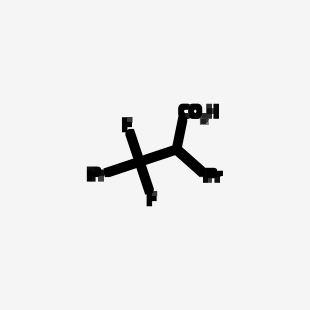 CC(C)C(C(=O)O)C(F)(F)C(C)C